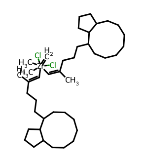 [CH2]=[Zr]([CH3])([CH3])([Cl])([Cl])([CH]=C(C)CCCC1CCCCCCCC2CCCC12)[CH]=C(C)CCCC1CCCCCCCC2CCCC12